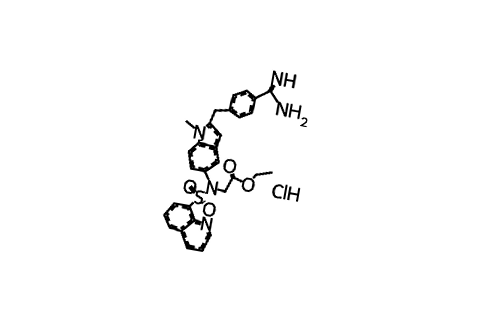 CCOC(=O)CN(c1ccc2c(c1)cc(Cc1ccc(C(=N)N)cc1)n2C)S(=O)(=O)c1cccc2cccnc12.Cl